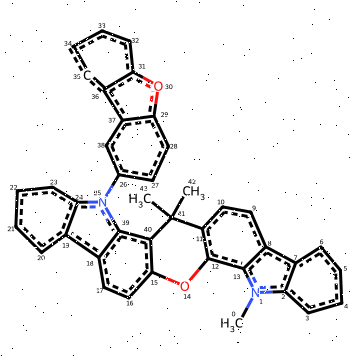 Cn1c2ccccc2c2ccc3c(c21)Oc1ccc2c4ccccc4n(-c4ccc5oc6ccccc6c5c4)c2c1C3(C)C